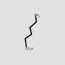 BCCCCC(=O)O